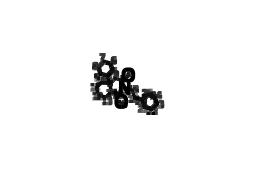 O=C1CC2(c3ccccc3)CCCCC2C(=O)N1CCc1ccccc1